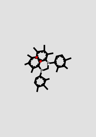 Cc1ccc(P(CP(c2ccc(C)c(C)c2C)c2ccc(C)c(C)c2C)c2ccc(C)c(C)c2C)c(C)c1C